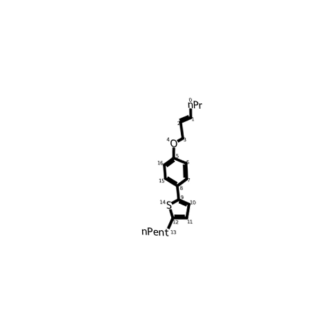 CCCC=CCOc1ccc(-c2ccc(CCCCC)s2)cc1